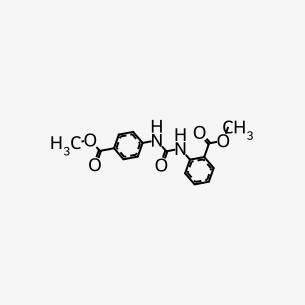 COC(=O)c1ccc(NC(=O)Nc2ccccc2C(=O)OC)cc1